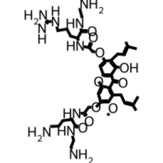 COc1c(OCC(=O)NC(CCCN)C(=O)NCCN)cc2oc3cc(OCC(=O)NC(CCCNC(=N)N)C(=O)NCCN)c(CC=C(C)C)c(O)c3c(=O)c2c1CC=C(C)C